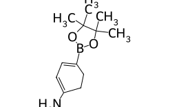 CC1(C)OB(C2=CC=C(N)CC2)OC1(C)C